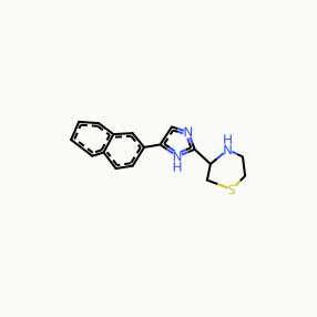 c1ccc2cc(-c3cnc(C4CSCCN4)[nH]3)ccc2c1